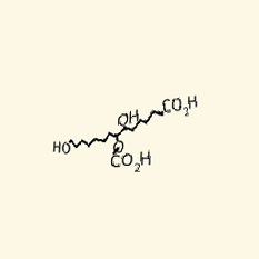 O=C(O)CCCCCC(O)C(CCCCCCCO)OCC(=O)O